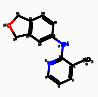 O=[N+]([O-])c1cccnc1Nc1ccc2c(c1)COC2